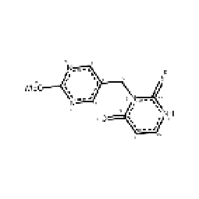 COc1ncc(Cn2c(=O)cc[nH]c2=S)cn1